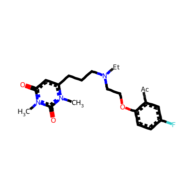 CCN(CCCc1cc(=O)n(C)c(=O)n1C)CCOc1ccc(F)cc1C(C)=O